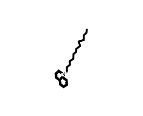 CCCCCCCCCCCCCC[n+]1cccc2ccccc21